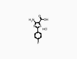 Cl.Nc1nc(-c2ccc(F)cc2)sc1C(=O)O